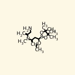 C=C(CN)N(C)C(=C)CC(OCC)B1OC(C)(C)C(C)(C)O1